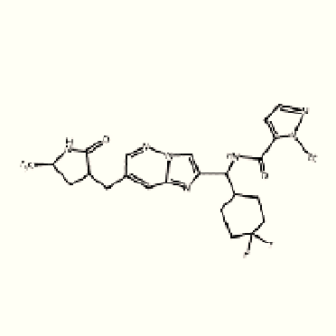 CCn1nccc1C(=O)N[C@H](c1cn2ncc(CC3C[C@@H](C(F)(F)F)NC3=O)cc2n1)C1CCC(F)(F)CC1